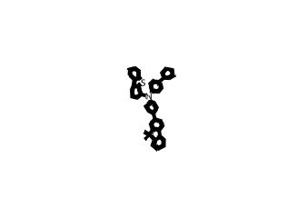 CC1(C)c2ccccc2-c2ccc(-c3ccc(N(c4ccc(-c5ccccc5)cc4)c4cccc5c4sc4ccccc45)cc3)cc21